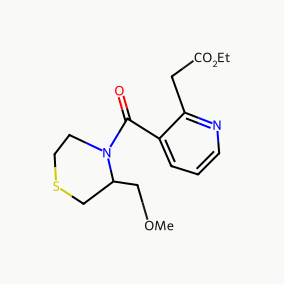 CCOC(=O)Cc1ncccc1C(=O)N1CCSCC1COC